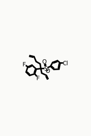 C=CCCC(CC=C)(c1cc(F)ccc1F)S(=O)(=O)c1ccc(Cl)cc1